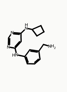 NCc1cccc(Nc2cc(NC3CCC3)ncn2)c1